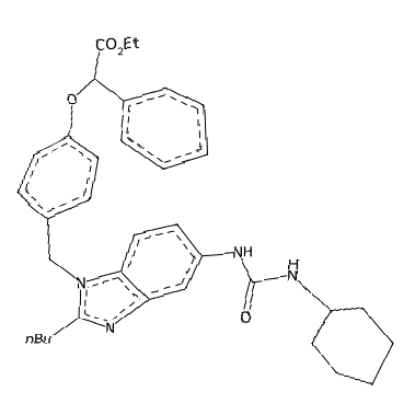 CCCCc1nc2cc(NC(=O)NC3CCCCC3)ccc2n1Cc1ccc(OC(C(=O)OCC)c2ccccc2)cc1